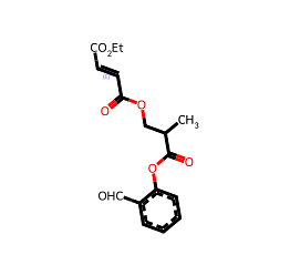 CCOC(=O)/C=C/C(=O)OCC(C)C(=O)Oc1ccccc1C=O